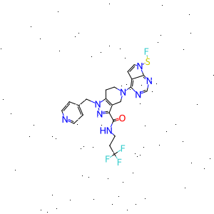 O=C(NCCC(F)(F)F)c1nn(Cc2ccncc2)c2c1CN(c1ncnc3c1ccn3SF)CC2